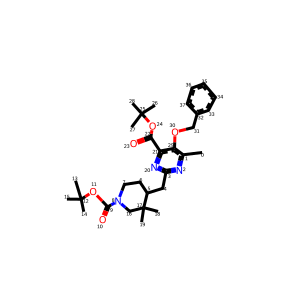 Cc1nc(CC2CCN(C(=O)OC(C)(C)C)CC2(C)C)nc(C(=O)OC(C)(C)C)c1OCc1ccccc1